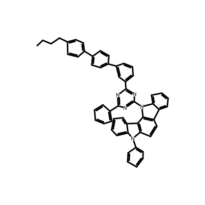 CCCCc1ccc(-c2ccc(-c3cccc(-c4nc(-c5ccccc5)nc(-n5c6ccccc6c6ccc7c(c8ccccc8n7-c7ccccc7)c65)n4)c3)cc2)cc1